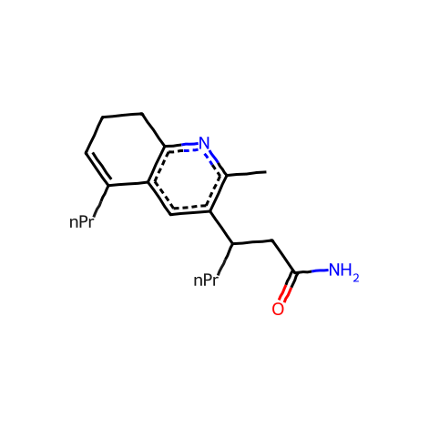 CCCC1=CCCc2nc(C)c(C(CCC)CC(N)=O)cc21